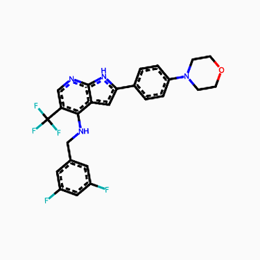 Fc1cc(F)cc(CNc2c(C(F)(F)F)cnc3[nH]c(-c4ccc(N5CCOCC5)cc4)cc23)c1